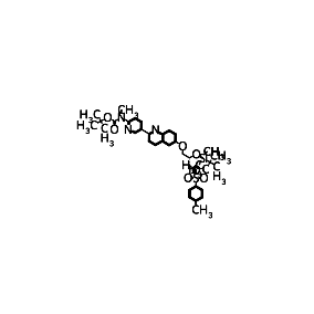 Cc1ccc(S(=O)(=O)OC[C@H](COc2ccc3nc(-c4ccc(N(C)C(=O)OC(C)(C)C)nc4)ccc3c2)O[Si](C)(C)C(C)(C)C)cc1